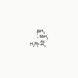 [AsH3].[BiH3].[PbH2].[SbH3]